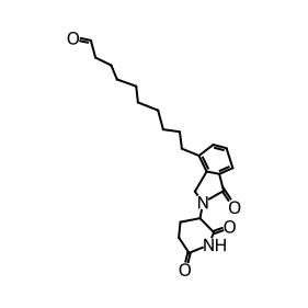 O=CCCCCCCCCCc1cccc2c1CN(C1CCC(=O)NC1=O)C2=O